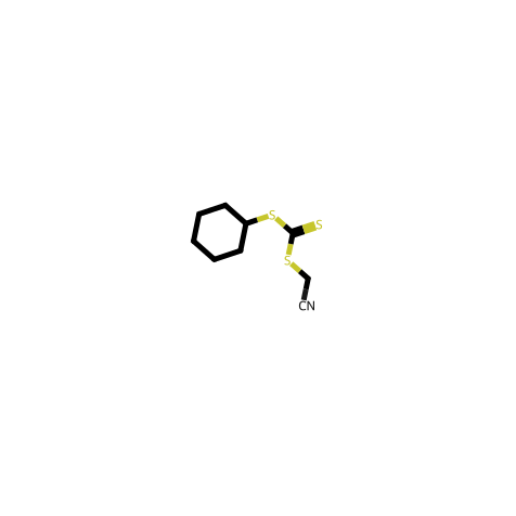 N#CCSC(=S)SC1CCCCC1